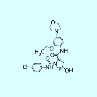 CCOc1cc(N2CCOCC2)ccc1NC(=O)[C@H]1C[C@@H](O)CN1C(=O)Nc1ccc(Cl)cc1